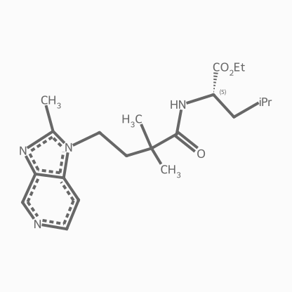 CCOC(=O)[C@H](CC(C)C)NC(=O)C(C)(C)CCn1c(C)nc2cnccc21